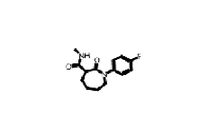 CNC(=O)C1CCCCN(c2ccc(F)cc2)C1=O